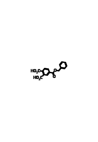 O=C(OCc1ccccc1)c1ccc(C(=O)O)c(C(=O)O)c1